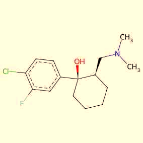 CN(C)C[C@H]1CCCC[C@]1(O)c1ccc(Cl)c(F)c1